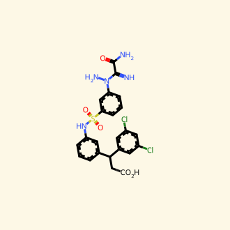 N=C(C(N)=O)N(N)c1cccc(S(=O)(=O)Nc2cccc(C(CC(=O)O)c3cc(Cl)cc(Cl)c3)c2)c1